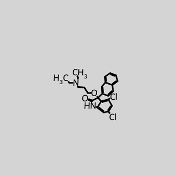 CCN(CC)CCCOC1(c2ccc3ccccc3c2)C(=O)Nc2cc(Cl)cc(Cl)c21